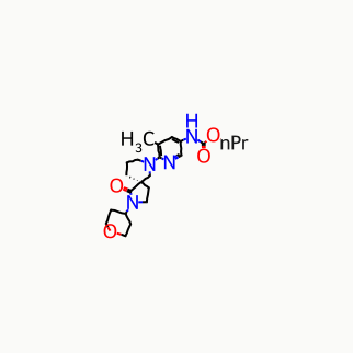 CCCOC(=O)Nc1cnc(N2CCC[C@@]3(CCN(C4CCOCC4)C3=O)C2)c(C)c1